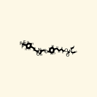 CCN(CC)C(=O)OCCCCc1ccc(OCc2coc(C=Cc3ccc(C(F)(F)F)cc3)n2)cc1